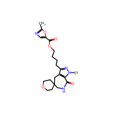 CCn1nc(CCCCOC(=O)c2cnc(C)o2)c2c1C(=O)NCC1(CCOCC1)C2